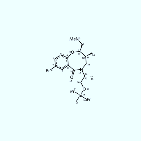 CNC[C@@H]1Oc2ncc(Br)cc2C(=O)N([C@H](C)CO[Si](C)(C(C)C)C(C)C)C[C@@H]1C